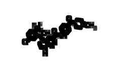 C[C@H](c1cc(Cl)ccc1C(F)(F)F)N1CCNc2nnc(C(=O)Nc3ccc(C(=O)N4CCN(C)CC4)cc3)cc21